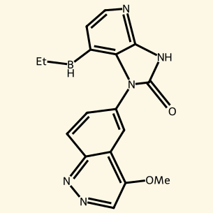 CCBc1ccnc2[nH]c(=O)n(-c3ccc4nncc(OC)c4c3)c12